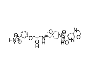 CNS(=O)(=O)c1cccc(OCC(O)CN[C@H]2COC3(CCN(S(=O)(=O)c4cc5c(nc4O)OCCN5C)CC3)C2)c1